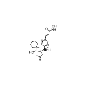 Cl.Cl.O=C(/C=C/c1cnc(N[C@]2(CC3(CO)CCCCC3)CCNC2)cn1)NO